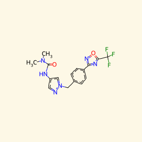 CN(C)C(=O)Nc1cnn(Cc2ccc(-c3noc(C(F)(F)F)n3)cc2)c1